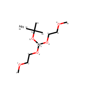 COCC[O][Al]([O]CCOC)[O]C(C)(C)C.[HH]